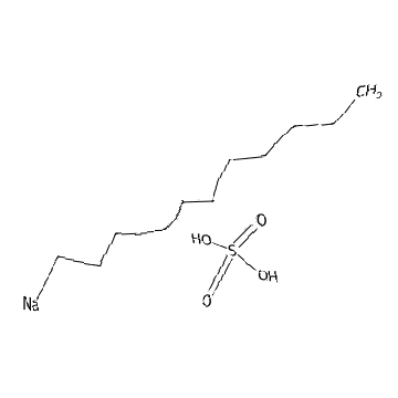 CCCCCCCCCC[CH2][Na].O=S(=O)(O)O